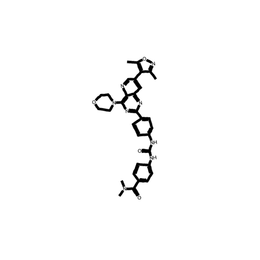 Cc1noc(C)c1-c1cnc2c(N3CCOCC3)nc(-c3ccc(NC(=O)Nc4ccc(C(=O)N(C)C)cc4)cc3)nc2c1